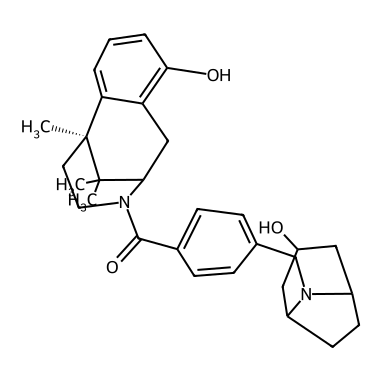 CC1(C)C2Cc3c(O)cccc3[C@]1(C)CCN2C(=O)c1ccc(CN2C3CCC2CC(O)C3)cc1